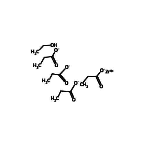 CCC(=O)[O-].CCC(=O)[O-].CCC(=O)[O-].CCC(=O)[O-].CCO.[Zr+4]